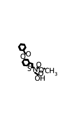 CCOC(=O)N(CC(=O)O)c1cc2cc(OC(=O)c3ccccc3)ccc2s1